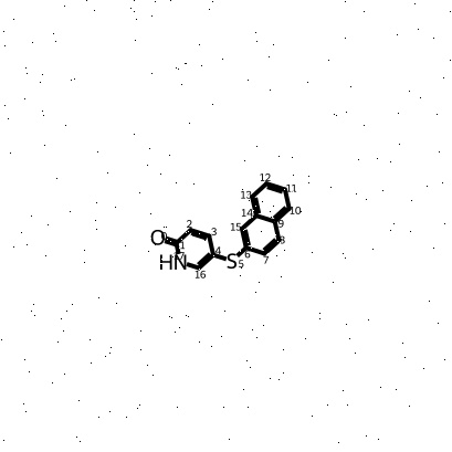 O=c1ccc(Sc2ccc3ccccc3c2)c[nH]1